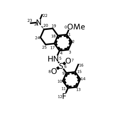 COc1ccc(NS(=O)(=O)c2cc(F)ccc2C)c2c1C[C@@H](N(C)C)CC2